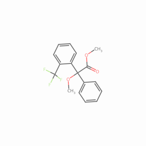 COC(=O)C(OC)(c1ccccc1)c1ccccc1C(F)(F)F